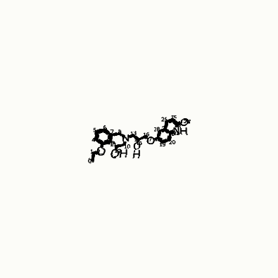 CCOc1cccc(CN(CCO)CC(O)COc2ccc3[nH]c(=O)ccc3c2)c1